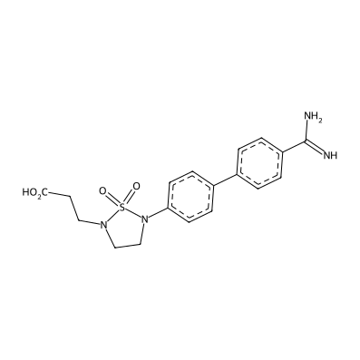 N=C(N)c1ccc(-c2ccc(N3CCN(CCC(=O)O)S3(=O)=O)cc2)cc1